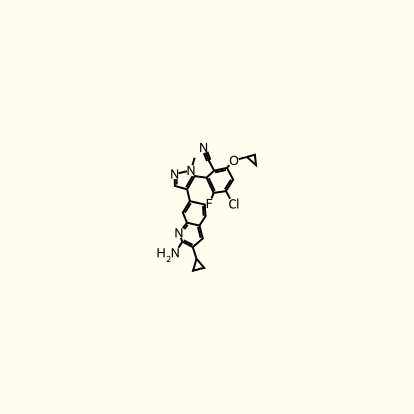 Cn1ncc(-c2ccc3cc(C4CC4)c(N)nc3c2)c1-c1c(F)c(Cl)cc(OC2CC2)c1C#N